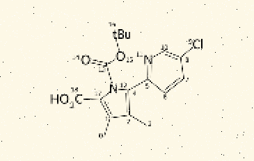 Cc1c(C)c(-c2ccc(Cl)cn2)n(C(=O)OC(C)(C)C)c1C(=O)O